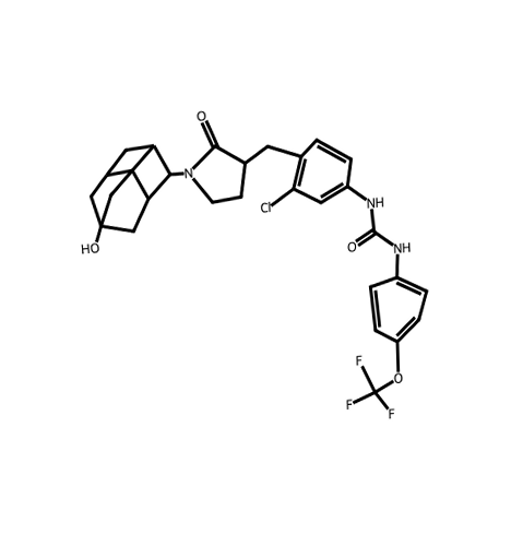 O=C(Nc1ccc(OC(F)(F)F)cc1)Nc1ccc(CC2CCN(C3C4CC5CC3CC(O)(C5)C4)C2=O)c(Cl)c1